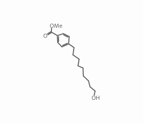 COC(=O)c1ccc(CCCCCCCCCO)cc1